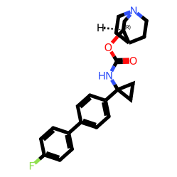 O=C(NC1(c2ccc(-c3ccc(F)cc3)cc2)CC1)O[C@H]1CN2CCC1CC2